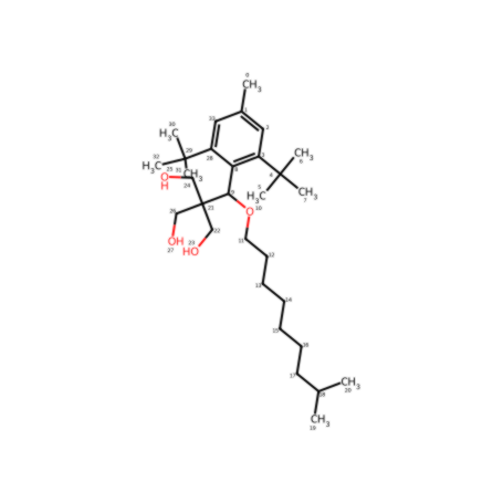 Cc1cc(C(C)(C)C)c(C(OCCCCCCCC(C)C)C(CO)(CO)CO)c(C(C)(C)C)c1